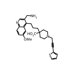 COc1ccc2ncc(CN)c(CCCC3(C(=O)O)CCN(CC#Cc4cccs4)CC3)c2c1